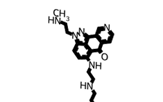 CNCCn1nc2c3c(c(NCCNCCO)ccc31)C(=O)c1ccncc1-2